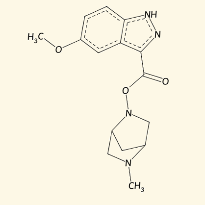 COc1ccc2[nH]nc(C(=O)ON3CC4CC3CN4C)c2c1